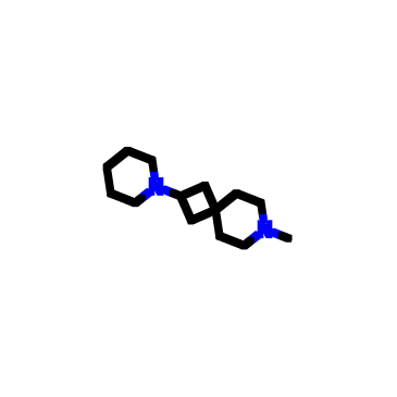 CN1CCC2(CC1)CC(N1CCCCC1)C2